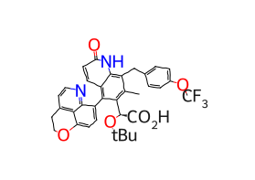 Cc1c([C@H](OC(C)(C)C)C(=O)O)c(-c2ccc3c4c(ccnc24)CCO3)c2ccc(=O)[nH]c2c1Cc1ccc(OC(F)(F)F)cc1